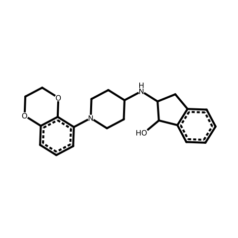 OC1c2ccccc2CC1NC1CCN(c2cccc3c2OCCO3)CC1